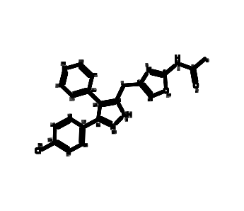 CC(=O)Nc1nc(Cc2[nH]nc(-c3ccc(Cl)cc3)c2-c2ccncc2)co1